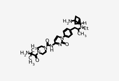 CCN(C(C)Cc1ccc(-n2ccc(NC(=O)N3CCN(C(=O)C(C)(C)N)CC3)nc2=O)cc1)[C@@H]1CC2(N)CC1C2